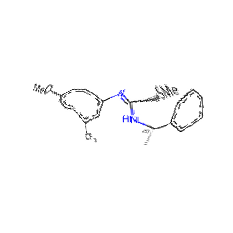 COc1cc(N=C(N[C@@H](C)c2ccccc2)SC)cc(C(F)(F)F)c1